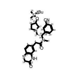 CN(C(=O)Cc1ccc2c(c1)NC(=O)CS2)[C@H](CN1CCC(O[Si](C)(C)C(C)(C)C)C1)c1cccc(C#N)c1